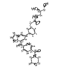 O=C(Cc1cccc(-c2cc(Nc3ccc(C(=O)N4CCOCC4)cn3)c3nccn3c2)c1)NCC(O)CO